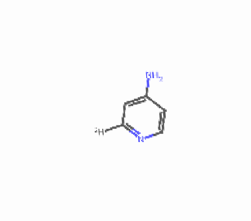 [2H]c1cc(N)ccn1